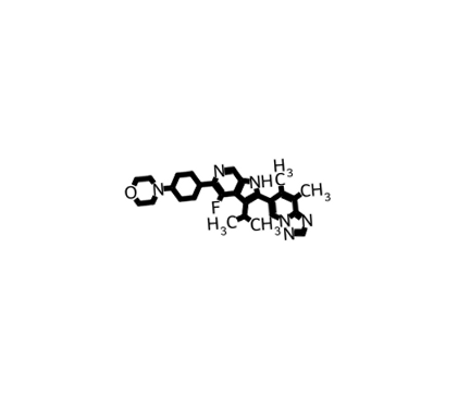 Cc1c(-c2[nH]c3cnc(C4CCC(N5CCOCC5)CC4)c(F)c3c2C(C)C)cn2ncnc2c1C